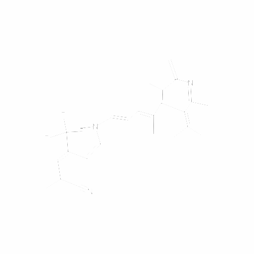 C=C(/N=C(/C)C(C/C(C)=C/C=C/N(C)/C=C\C(=C/C(C)C#N)C(F)(F)F)=C(C)C)C(C)C